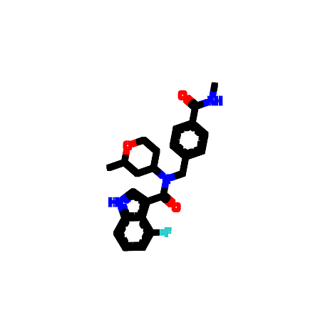 CNC(=O)c1ccc(CN(C(=O)c2c[nH]c3cccc(F)c23)C2CCOC(C)C2)cc1